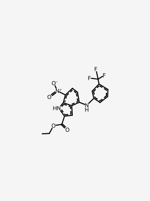 CCOC(=O)c1cc2c(Nc3cccc(C(F)(F)F)c3)ccc([N+](=O)[O-])c2[nH]1